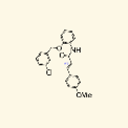 COc1ccc(/C=C/C(=O)Nc2ccccc2OCc2cccc(Cl)c2)cc1